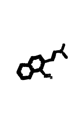 CN(C)/C=C/c1ccc2ccccc2c1[N+](=O)[O-]